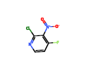 O=[N+]([O-])c1c(F)ccnc1Cl